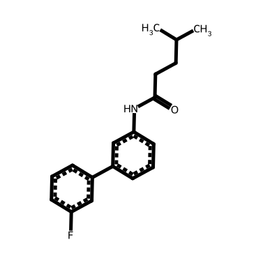 CC(C)CCC(=O)Nc1cccc(-c2cccc(F)c2)c1